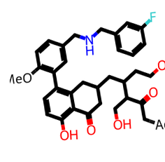 COc1ccc(CNCc2cccc(F)c2)cc1-c1ccc(O)c2c1CC(CC(CCO)C(CO)C(=O)CC(C)=O)CC2=O